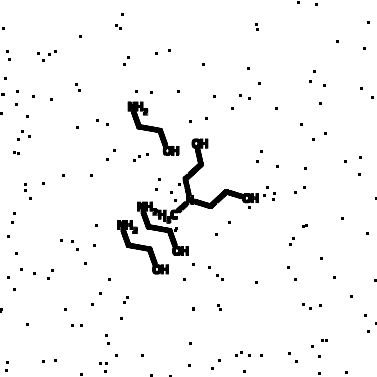 CN(CCO)CCO.NCCO.NCCO.NCCO